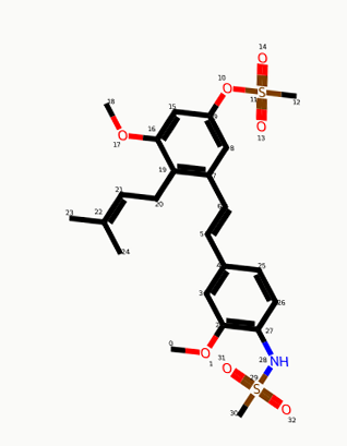 COc1cc(C=Cc2cc(OS(C)(=O)=O)cc(OC)c2CC=C(C)C)ccc1NS(C)(=O)=O